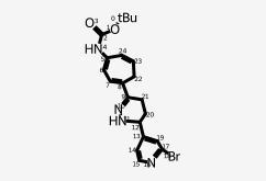 CC(C)(C)OC(=O)NC1=CC=C(C2=NNC(c3ccnc(Br)c3)CC2)CC=C1